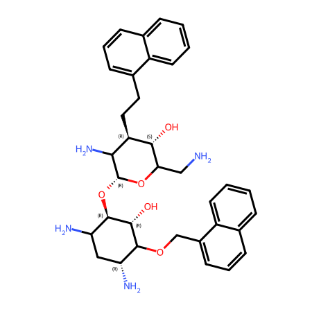 NCC1O[C@H](O[C@@H]2C(N)C[C@@H](N)C(OCc3cccc4ccccc34)[C@H]2O)C(N)[C@@H](CCc2cccc3ccccc23)[C@@H]1O